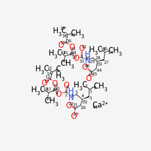 CC(C)C[C@H](CNC(=O)O[C@@H](OC(=O)C(C)C)C(C)C)CC(=O)[O-].CC(C)C[C@H](CNC(=O)O[C@@H](OC(=O)C(C)C)C(C)C)CC(=O)[O-].[Ca+2]